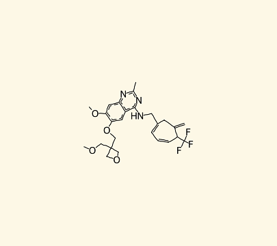 C=C1CC(CNc2nc(C)nc3cc(OC)c(OCC4(COC)COC4)cc23)=CC=CC1C(F)(F)F